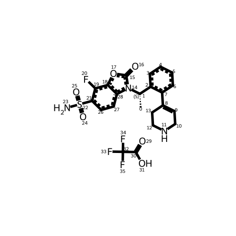 C[C@@H](c1ccccc1C1=CCNCC1)n1c(=O)oc2c(F)c(S(N)(=O)=O)ccc21.O=C(O)C(F)(F)F